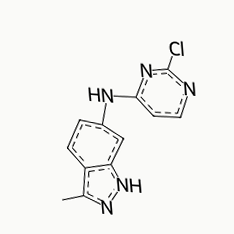 Cc1n[nH]c2cc(Nc3ccnc(Cl)n3)ccc12